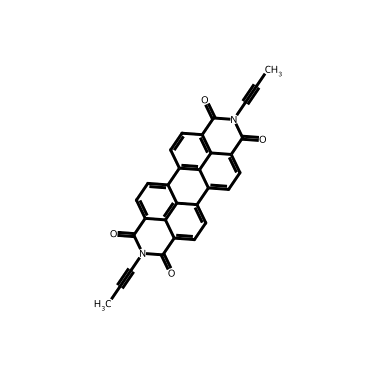 CC#CN1C(=O)c2ccc3c4ccc5c6c(ccc(c7ccc(c2c37)C1=O)c64)C(=O)N(C#CC)C5=O